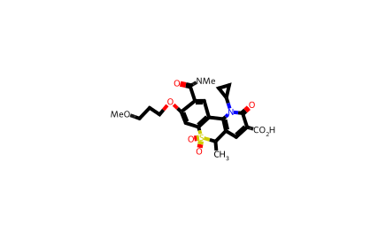 CNC(=O)c1cc2c(cc1OCCCOC)S(=O)(=O)C(C)c1cc(C(=O)O)c(=O)n(C3CC3)c1-2